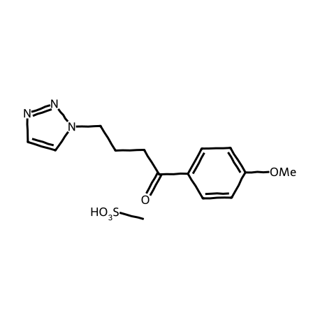 COc1ccc(C(=O)CCCn2ccnn2)cc1.CS(=O)(=O)O